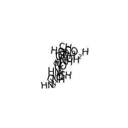 C[C@@H](O)[C@H](NC(=O)[C@H](CO)NC(=O)[C@@H]1CCCN1C(=O)[C@H](CS)NC(=O)CNC(=O)[C@@H]1CCCN1)C(=O)O